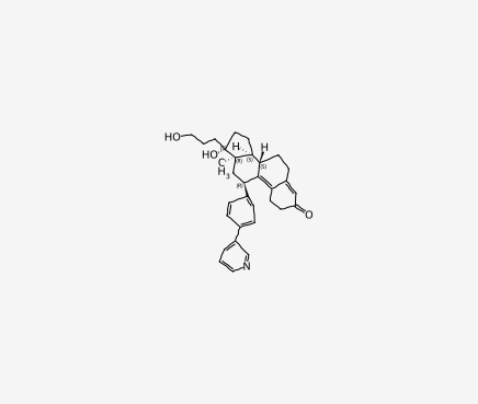 C[C@@]12C[C@H](c3ccc(-c4cccnc4)cc3)C3=C4CCC(=O)C=C4CC[C@H]3[C@@H]1CC[C@]2(O)CCCO